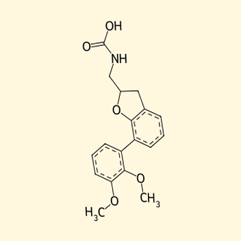 COc1cccc(-c2cccc3c2OC(CNC(=O)O)C3)c1OC